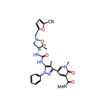 CNC(=O)c1cc(-c2nn(-c3ccccc3)c(NC(=O)N[C@@H]3CN(Cc4ccc(C#N)o4)O[C@H]3C)c2C)cn(C)c1=O